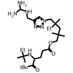 CCC(C)(Cn1cc(CNC(N)N)nn1)CC(C)(C)COC(=O)CCC(NC(C)(C)CC)C(=O)C(C)(C)C